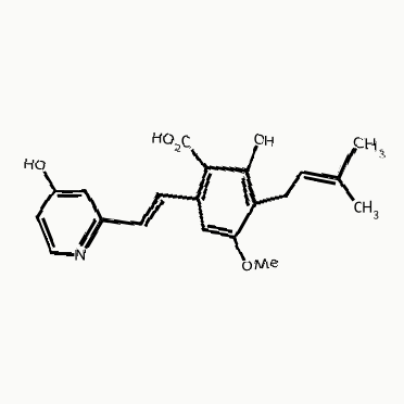 COc1cc(/C=C/c2cc(O)ccn2)c(C(=O)O)c(O)c1CC=C(C)C